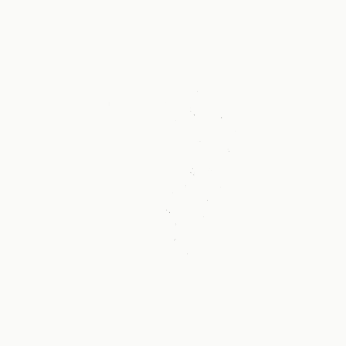 CCCCCN(C)c1cccc(C(=O)Nc2cnc3ccccc3c2)c1